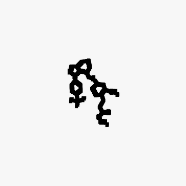 COC(=O)CCc1ccc(SCc2cccc3cnn(-c4ccc(C(F)(F)F)cc4)c23)cc1C